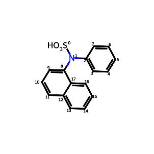 O=S(=O)(O)N(c1ccccc1)c1cccc2ccccc12